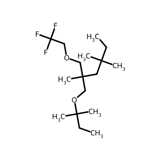 CCC(C)(C)CC(C)(COCC(F)(F)F)COC(C)(C)CC